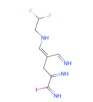 N=C/C(=C\NCC(F)F)CC(=N)C(=N)I